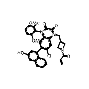 C=CC(=O)N1CC(Cn2c(=O)c(=O)n(-c3c(OC)cccc3OC)c3cc(-c4cc(O)cc5ccccc45)c(Cl)cc32)C1